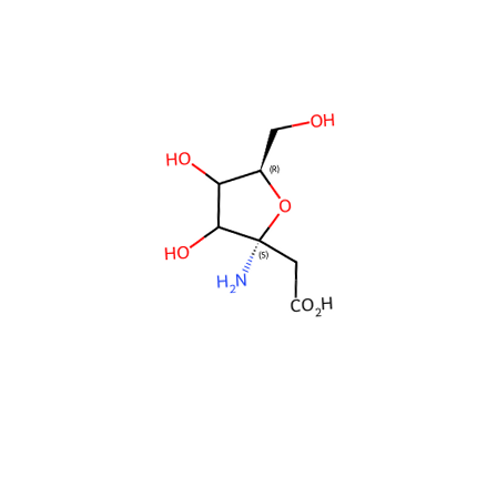 N[C@@]1(CC(=O)O)O[C@H](CO)C(O)C1O